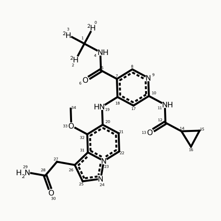 [2H]C([2H])([2H])NC(=O)c1cnc(NC(=O)C2CC2)cc1Nc1ccn2ncc(CC(N)=O)c2c1OC